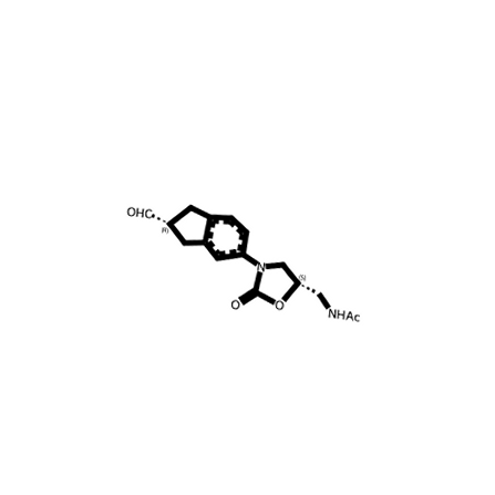 CC(=O)NC[C@H]1CN(c2ccc3c(c2)C[C@H](C=O)C3)C(=O)O1